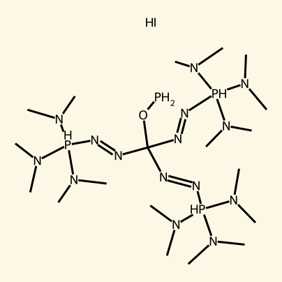 CN(C)[PH](N=NC(N=N[PH](N(C)C)(N(C)C)N(C)C)(N=N[PH](N(C)C)(N(C)C)N(C)C)OP)(N(C)C)N(C)C.I